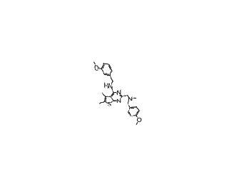 COc1ccc(CN(C)Cc2nc(NCc3cccc(OC)c3)c3c(C)c(C)sc3n2)cc1